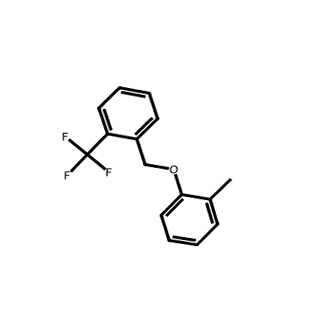 Cc1ccccc1OCc1ccccc1C(F)(F)F